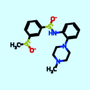 CN1CCN(c2ccccc2N[S+]([O-])c2cccc([S+](C)[O-])c2)CC1